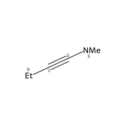 CCC#CNC